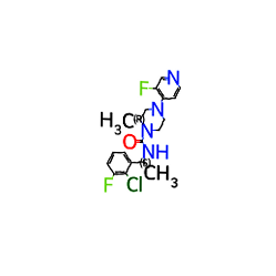 C[C@H](NC(=O)N1CCN(c2ccncc2F)C[C@H]1C)c1cccc(F)c1Cl